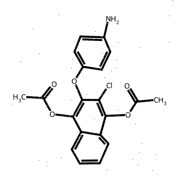 CC(=O)Oc1c(Cl)c(Oc2ccc(N)cc2)c(OC(C)=O)c2ccccc12